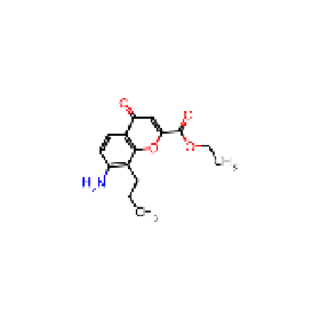 CCCc1c(N)ccc2c(=O)cc(C(=O)OCC)oc12